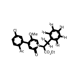 [2H]c1c([2H])c([2H])c(C([2H])([2H])C(C(=O)OCC)n2cc(OC)c(-c3cc(Cl)ccc3C(C)=O)cc2=O)c([2H])c1[2H]